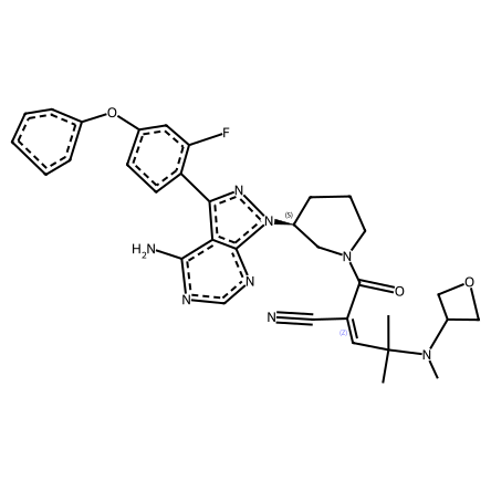 CN(C1COC1)C(C)(C)/C=C(/C#N)C(=O)N1CCC[C@H](n2nc(-c3ccc(Oc4ccccc4)cc3F)c3c(N)ncnc32)C1